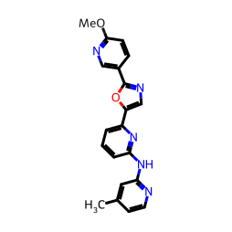 COc1ccc(-c2ncc(-c3cccc(Nc4cc(C)ccn4)n3)o2)cn1